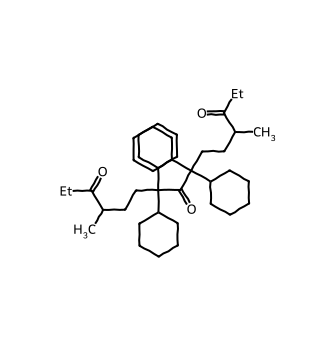 CCC(=O)C(C)CCC(C(=O)C(CCC(C)C(=O)CC)(C1CCCCC1)C1CCCCC1)(C1CCCCC1)C1CCCCC1